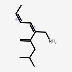 C=C(CC(C)C)/C(=C\C=C/C)CN